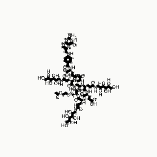 CC(=O)OCCSSC[C@@H](NC(=O)[C@H](CCC(=O)NC[C@H](O)[C@@H](O)[C@H](O)[C@H](O)CO)NC(=O)[C@@H](CCC(=O)O)NC(=O)[C@H](CCC(=O)NC[C@H](O)[C@@H](O)[C@H](O)[C@H](O)CO)NC(=O)[C@@H](CCC(=O)O)NC(=O)[C@H](CCC(=O)NC[C@H](O)[C@@H](O)[C@H](O)[C@H](O)CO)NC(=O)CC[C@@H](NC(=O)c1ccc(NCc2cnc3nc(N)[nH]c(=O)c3n2)cc1)C(=O)O)C(=O)O